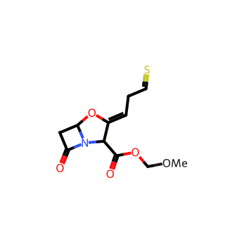 COCOC(=O)C1C(=CCC=S)OC2CC(=O)N21